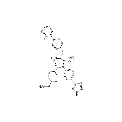 Cc1ncccc1-c1ccc(C[C@H](N)C(=O)N(c2ccc(-c3nn[nH]n3)cc2)C(=O)[C@H]2CC[C@H](CN)CC2)cc1.Cl